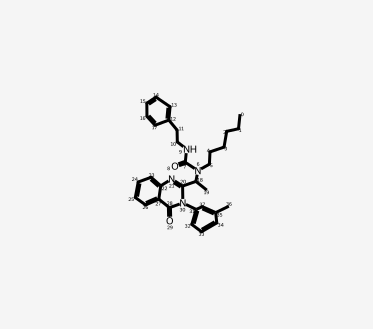 CCCCCCN(C(=O)NCCc1ccccc1)C(C)c1nc2ccccc2c(=O)n1-c1cccc(C)c1